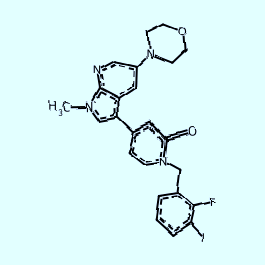 Cn1cc(-c2ccn(Cc3cccc(I)c3F)c(=O)c2)c2cc(N3CCOCC3)cnc21